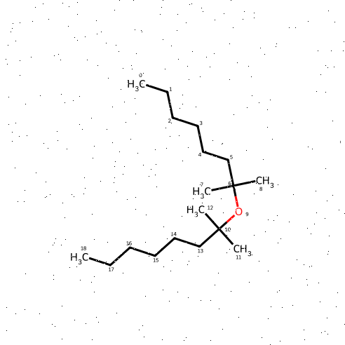 CCCCCCC(C)(C)OC(C)(C)CCCCCC